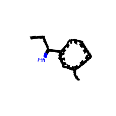 CCC(=N)c1cccc(C)c1